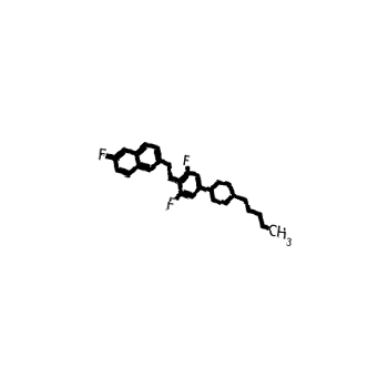 CCCCCC1CCC(c2cc(F)c(CCc3ccc4cc(F)ccc4c3)c(F)c2)CC1